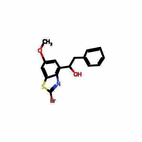 COc1cc(C(O)Cc2ccccc2)c2nc(Br)sc2c1